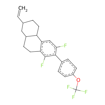 C=CC1CCC2c3cc(F)c(-c4ccc(OC(F)(F)F)cc4)c(F)c3CCC2C1